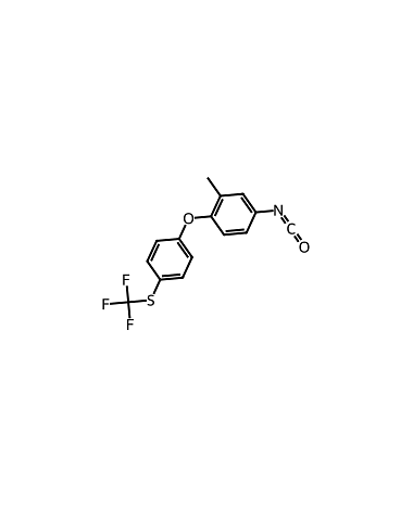 Cc1cc(N=C=O)ccc1Oc1ccc(SC(F)(F)F)cc1